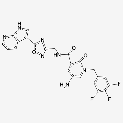 Nc1cc(C(=O)NCc2noc(-c3c[nH]c4ncccc34)n2)c(=O)n(Cc2cc(F)c(F)c(F)c2)c1